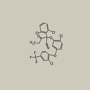 CCC(=O)C(C#N)(Oc1cc(Oc2ccc(C(F)(F)F)cc2Cl)ccc1Cl)c1c(Cl)cccc1Cl